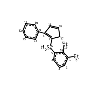 CCc1cccc([SiH2]C2=C(c3ccccc3)C=CC2)c1CC